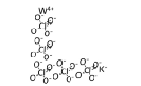 [K+].[O-][Cl+3]([O-])([O-])[O-].[O-][Cl+3]([O-])([O-])[O-].[O-][Cl+3]([O-])([O-])[O-].[O-][Cl+3]([O-])([O-])[O-].[O-][Cl+3]([O-])([O-])[O-].[W+4]